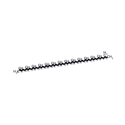 [CH2]/C=C(\C)CC/C=C(\C)CC/C=C(\C)CC/C=C(\C)CC/C=C(\C)CC/C=C(\C)CC/C=C(\C)CC/C=C(\C)CC/C=C(\C)CC/C=C(\C)CC/C=C(\C)CC/C=C(\C)CC/C=C(\C)CCC=C(C)C